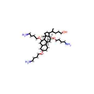 CC(CCCO)C1CC[C@H]2C3[C@H](OCCCCN)CC4C[C@H](OCCCCN)CC[C@]4(C)[C@H]3C[C@H](OCCCCN)[C@]12C